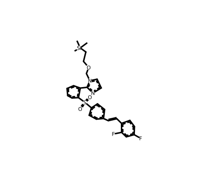 C[Si](C)(C)CCOCn1ccnc1-c1ccccc1S(=O)(=O)c1ccc(C=Cc2ccc(F)cc2F)cc1